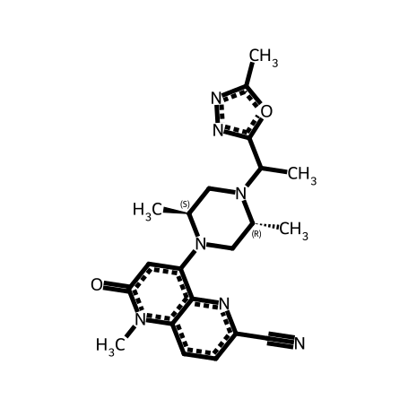 Cc1nnc(C(C)N2C[C@H](C)N(c3cc(=O)n(C)c4ccc(C#N)nc34)C[C@H]2C)o1